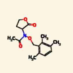 CC(=O)N(OCc1c(C)ccc(C)c1C)C1CCOC1=O